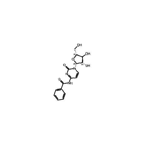 O=C(Nc1ccn([C@@H]2O[C@H](CO)C(O)[C@@H]2O)c(=O)n1)c1ccccc1